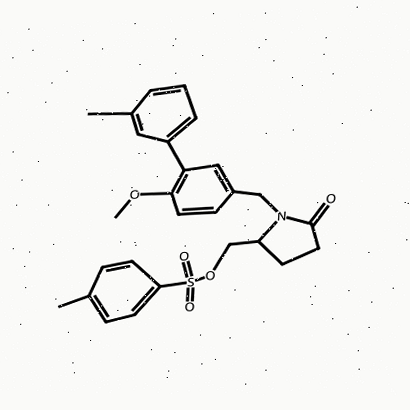 COc1ccc(CN2C(=O)CCC2COS(=O)(=O)c2ccc(C)cc2)cc1-c1cccc(C)c1